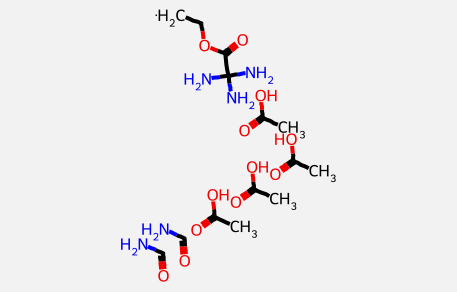 CC(=O)O.CC(=O)O.CC(=O)O.CC(=O)O.NC=O.NC=O.[CH2]COC(=O)C(N)(N)N